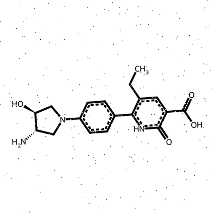 CCc1cc(C(=O)O)c(=O)[nH]c1-c1ccc(N2C[C@H](N)[C@@H](O)C2)cc1